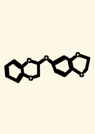 c1ccc2c(c1)OCC(Oc1ccc3c(c1)OCCO3)O2